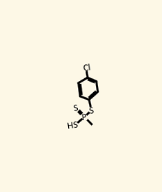 CP(=S)(S)Sc1ccc(Cl)cc1